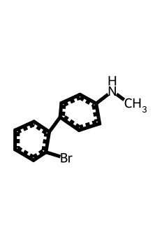 CNc1ccc(-c2ccccc2Br)cc1